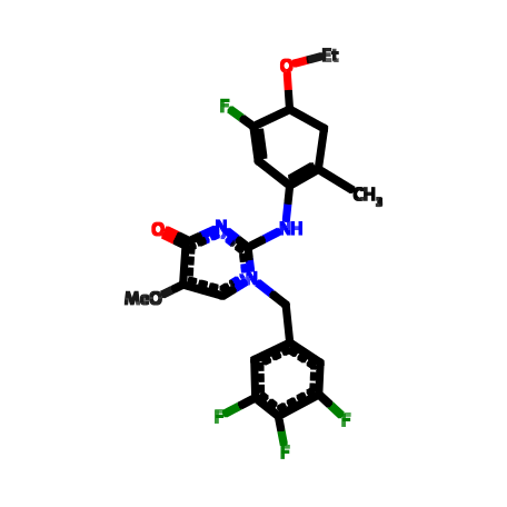 CCOC1CC(C)=C(Nc2nc(=O)c(OC)cn2Cc2cc(F)c(F)c(F)c2)C=C1F